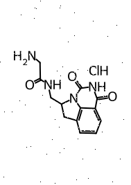 Cl.NCC(=O)NCC1Cc2cccc3c(=O)[nH]c(=O)n1c23